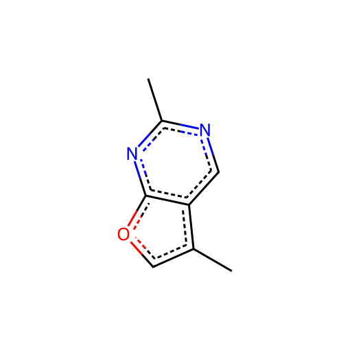 Cc1ncc2c(C)coc2n1